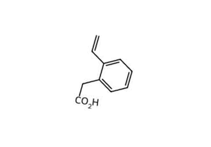 C=Cc1ccccc1CC(=O)O